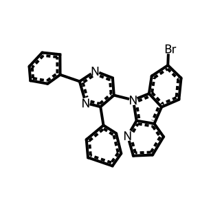 Brc1ccc2c3cccnc3n(-c3cnc(-c4ccccc4)nc3-c3ccccc3)c2c1